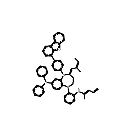 C=C/C=C(\C)Nc1ccccc1B1CC/C(=C\C(C)=C/C)N(c2ccc(-c3cccc4c3oc3ccccc34)cc2)c2cc(N(c3ccccc3)c3ccccc3)ccc21